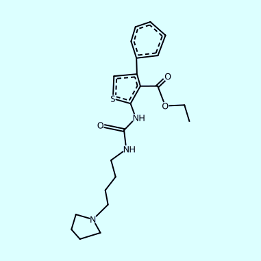 CCOC(=O)c1c(-c2ccccc2)csc1NC(=O)NCCCCN1CCCC1